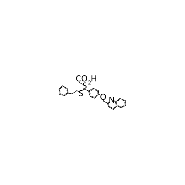 O=C(O)CSC(SCCc1ccccc1)c1ccc(OCc2ccc3ccccc3n2)cc1